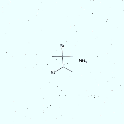 CCC(C)C(C)(C)Br.N